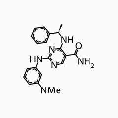 CNc1cccc(Nc2ncc(C(N)=O)c(N[C@H](C)c3ccccc3)n2)c1